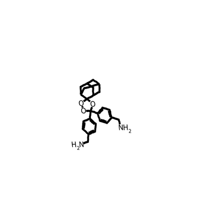 NCc1ccc(C2(c3ccc(CN)cc3)OOC3(O2)C2CC4CC(C2)CC3C4)cc1